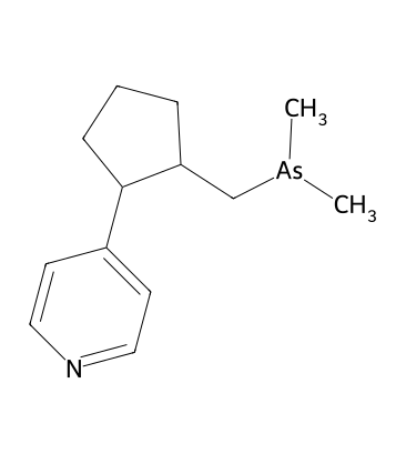 C[As](C)CC1CCCC1c1ccncc1